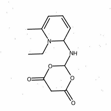 CCN1C(C)=CC=CC1NC1OC(=O)CC(=O)O1